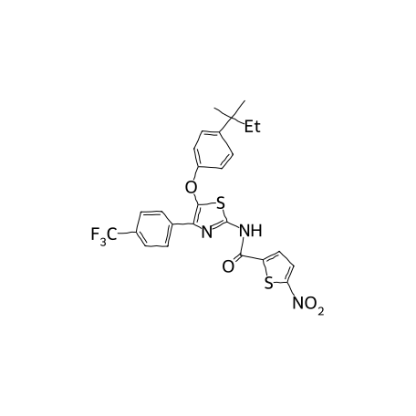 CCC(C)(C)c1ccc(Oc2sc(NC(=O)c3ccc([N+](=O)[O-])s3)nc2-c2ccc(C(F)(F)F)cc2)cc1